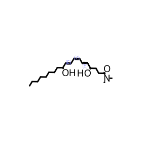 CCCCCCCCC(O)/C=C/C=C\C=C\C(O)CCC(=O)N(C)C